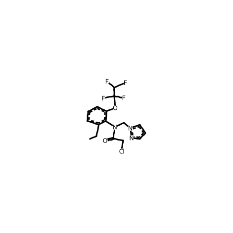 CCc1cccc(OC(F)(F)C(F)F)c1N(Cn1cccn1)C(=O)CCl